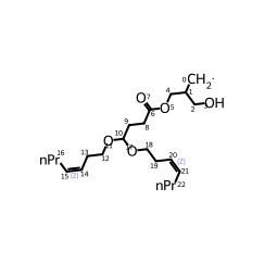 [CH2]C(CO)COC(=O)CCC(OCC/C=C\CCC)OCC/C=C\CCC